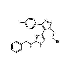 CCOCn1nnc(-c2ccc(F)cc2)c1-c1c[nH]c(NCc2ccccc2)n1